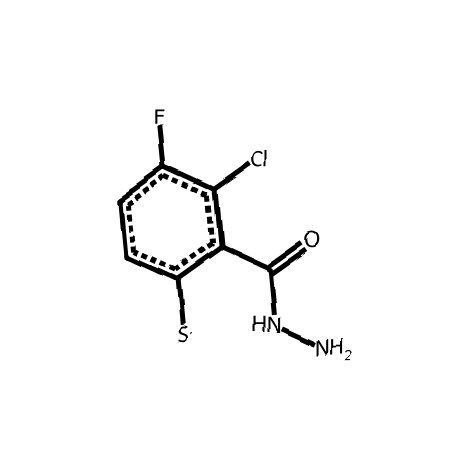 NNC(=O)c1c([S])ccc(F)c1Cl